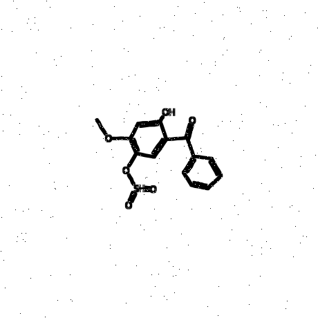 COc1cc(O)c(C(=O)c2ccccc2)cc1O[SH](=O)=O